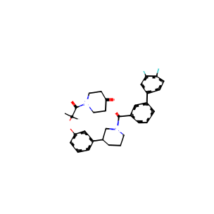 CC(C)(Oc1cccc(C2CCCN(C(=O)c3cccc(-c4ccc(F)c(F)c4)c3)C2)c1)C(=O)N1CCC(=O)CC1